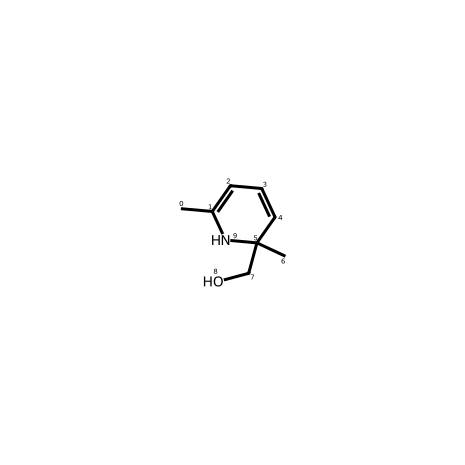 CC1=CC=CC(C)(CO)N1